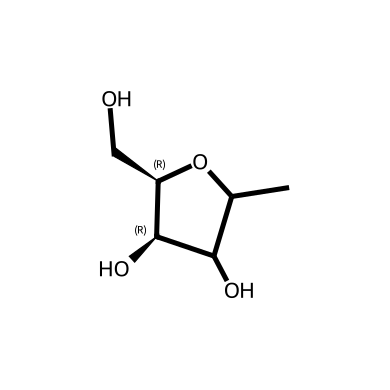 CC1O[C@H](CO)[C@H](O)C1O